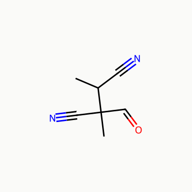 CC(C#N)C(C)(C#N)C=O